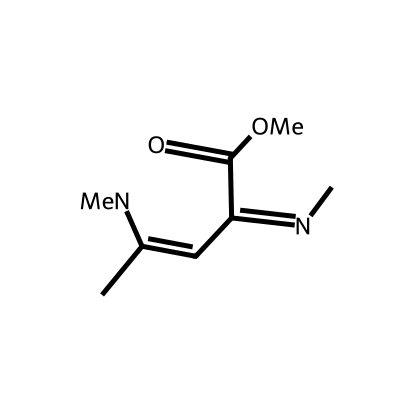 C/N=C(/C=C(/C)NC)C(=O)OC